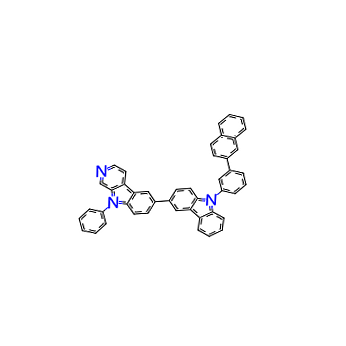 c1ccc(-n2c3ccc(-c4ccc5c(c4)c4ccccc4n5-c4cccc(-c5ccc6ccccc6c5)c4)cc3c3ccncc32)cc1